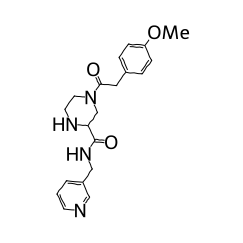 COc1ccc(CC(=O)N2CCNC(C(=O)NCc3cccnc3)C2)cc1